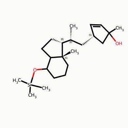 C[C@H](C[C@@H]1C=CC(C)(O)C1)[C@H]1CCC2C(O[Si](C)(C)C)CCC[C@]21C